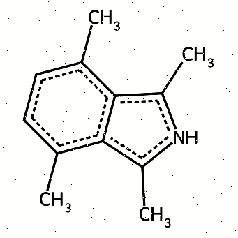 Cc1ccc(C)c2c(C)[nH]c(C)c12